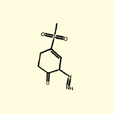 CS(=O)(=O)C1=CC(N=N)C(=O)CC1